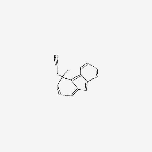 C#CCC1([CH2])C=CC=C2C=c3ccccc3=C21